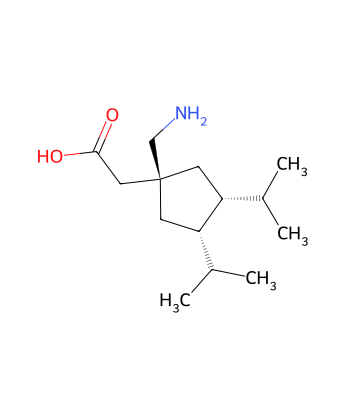 CC(C)[C@H]1C[C@@](CN)(CC(=O)O)C[C@H]1C(C)C